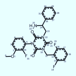 COc1cccc(-n2c(=O)n(Cc3c(F)cccc3F)c(=O)n(CC(N)c3ccccc3)c2=O)c1F